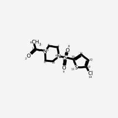 CC(=O)N1CCN(S(=O)(=O)c2ccc(Cl)s2)CC1